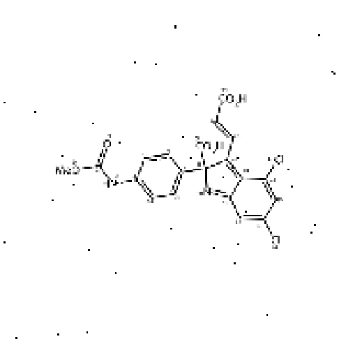 COC(=O)Nc1ccc(C2(C(=O)O)N=c3cc(Cl)cc(Cl)c3=C2C=CC(=O)O)cc1